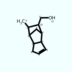 CC1C2CC(C3C=CCC32)C1CO